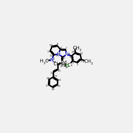 Cc1cc(C)c(-n2cc3cccc(N(C)C)n3[c]2=[Pd]([Cl])[CH2]C=Cc2ccccc2)c(C)c1